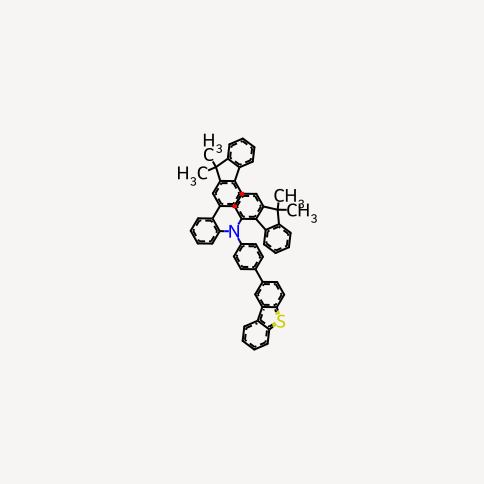 CC1(C)c2ccccc2-c2ccc(-c3ccccc3N(c3ccc(-c4ccc5sc6ccccc6c5c4)cc3)c3cccc4c3-c3ccccc3C4(C)C)cc21